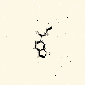 C=CNC(=O)c1cc2occc2cn1